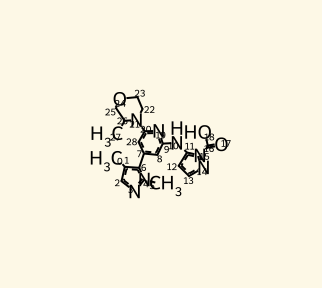 Cc1cnn(C)c1-c1cc(Nc2ccnn2C(=O)O)nc(N2CCOCC2C)c1